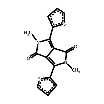 CN1C(=O)C2=C(c3cccs3)N(C)C(=O)C2=C1c1cccs1